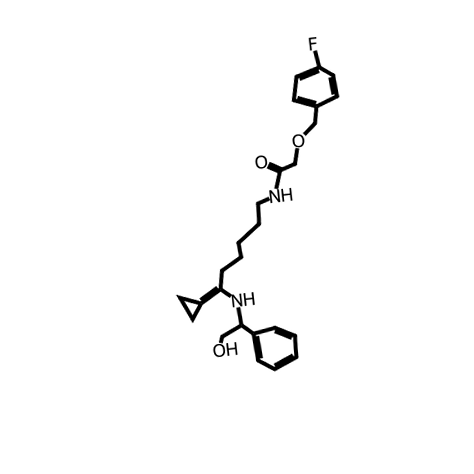 O=C(COCc1ccc(F)cc1)NCCCCCC(NC(CO)c1ccccc1)=C1CC1